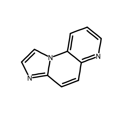 c1cnc2ccc3nccn3c2c1